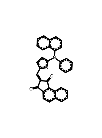 O=C1/C(=C/c2ccc(N(c3ccccc3)c3cccc4ccccc34)s2)C(=O)c2c1ccc1ccccc21